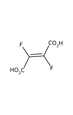 O=C(O)C(F)=C(F)C(=O)O